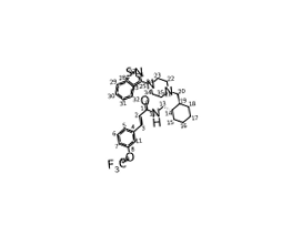 O=C(/C=C/c1cccc(OC(F)(F)F)c1)NC[C@H]1CCCC[C@@H]1CN1CCN(c2nsc3ccccc23)CC1